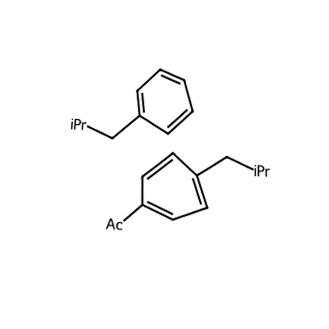 CC(=O)c1ccc(CC(C)C)cc1.CC(C)Cc1ccccc1